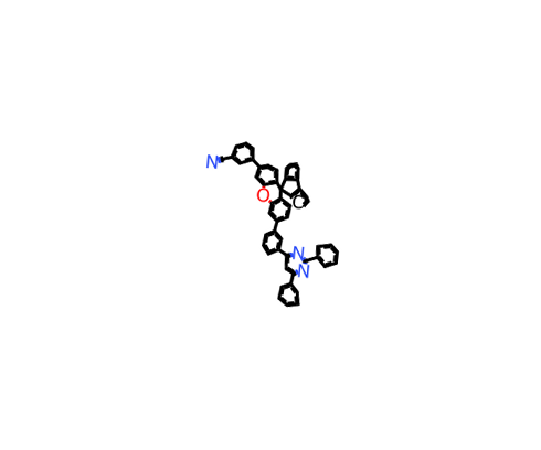 N#Cc1cccc(-c2ccc3c(c2)Oc2cc(-c4cccc(-c5cc(-c6ccccc6)nc(-c6ccccc6)n5)c4)ccc2C32c3ccccc3-c3ccccc32)c1